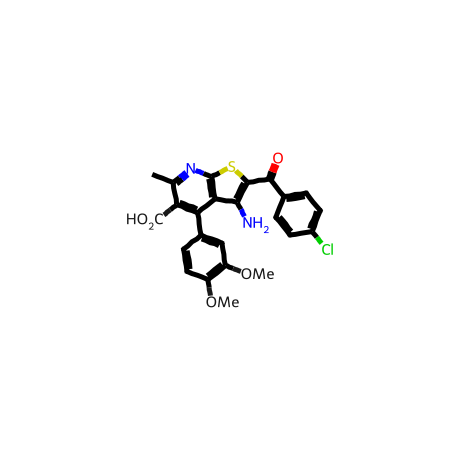 COc1ccc(-c2c(C(=O)O)c(C)nc3sc(C(=O)c4ccc(Cl)cc4)c(N)c23)cc1OC